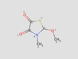 CO[C]1SC(=O)C(=O)N1C